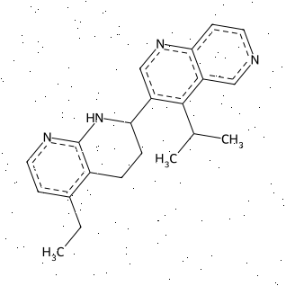 CCc1ccnc2c1CCC(c1cnc3ccncc3c1C(C)C)N2